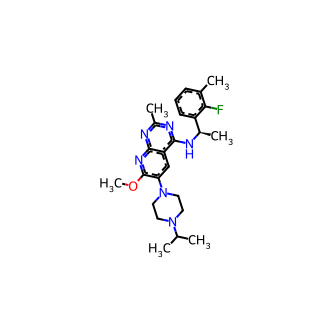 COc1nc2nc(C)nc(N[C@H](C)c3cccc(C)c3F)c2cc1N1CCN(C(C)C)CC1